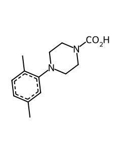 Cc1ccc(C)c(N2CCN(C(=O)O)CC2)c1